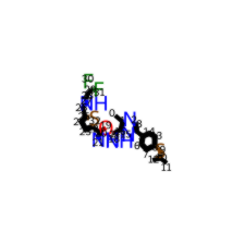 Cc1ncc(-c2ccc(SC(C)C)cc2)nc1C(=N)OC(=N)c1ccc(CNCC(F)F)s1